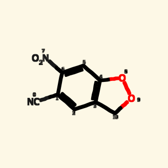 N#Cc1cc2c(cc1[N+](=O)[O-])OOC2